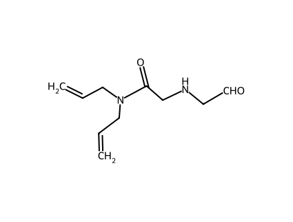 C=CCN(CC=C)C(=O)CNCC=O